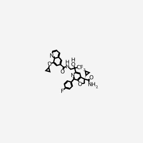 NC(=O)[C@@]1(C2CC2)COc2c1cc(C(O)(CNC(=O)c1cc(OC3CC3)c3ncccc3c1)C(F)(F)F)nc2-c1ccc(F)cc1